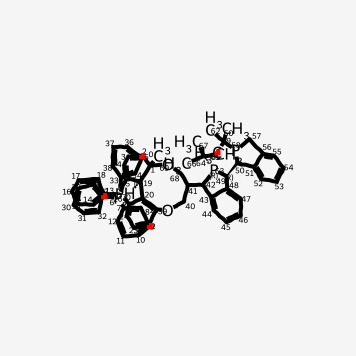 CC12C=CC=C(P(c3ccccc3)c3ccccc3)[C@@H]1c1c(cccc1P(c1ccccc1)c1ccccc1)OCC(C1c3ccccc3[C@H](C3c4ccccc4CP3C(C)(C)C)[P@@]1C(C)(C)C)CO2